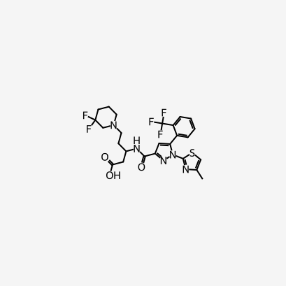 Cc1csc(-n2nc(C(=O)NC(CCN3CCCC(F)(F)C3)CC(=O)O)cc2-c2ccccc2C(F)(F)F)n1